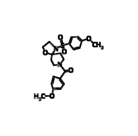 COc1ccc(C(=O)N2CCC3(CC2)OCCN3S(=O)(=O)c2ccc(OC)cc2)cc1